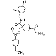 CCc1ccc(N(C=O)OCC2(C(=O)NCc3ccc(Cl)cc3F)CCN(C(=O)CN)CC2)cc1